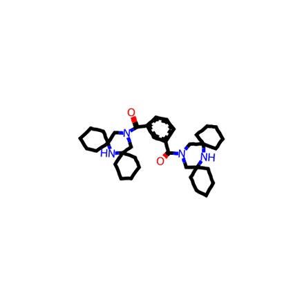 O=C(c1cccc(C(=O)N2CC3(CCCCC3)NC3(CCCCC3)C2)c1)N1CC2(CCCCC2)NC2(CCCCC2)C1